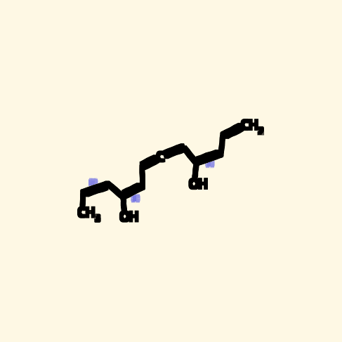 C=C/C=C(/O)C=C=C/C=C(O)\C=C/C